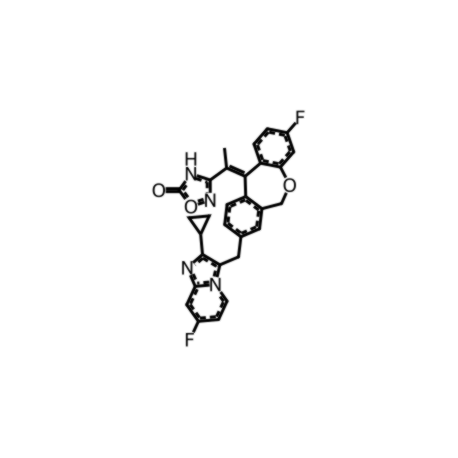 CC(=C1c2ccc(Cc3c(C4CC4)nc4cc(F)ccn34)cc2COc2cc(F)ccc21)c1noc(=O)[nH]1